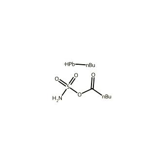 CCCCC(=O)OS(N)(=O)=O.CCC[CH2][PbH]